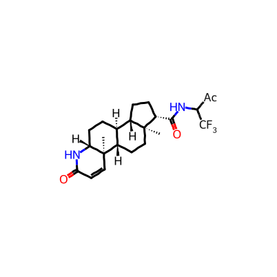 CC(=O)C(NC(=O)[C@H]1CC[C@H]2[C@@H]3CC[C@H]4NC(=O)C=C[C@]4(C)[C@H]3CC[C@]12C)C(F)(F)F